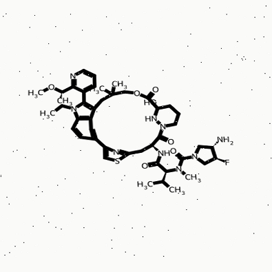 CCn1c(-c2cccnc2[C@H](C)OC)c2c3cc(ccc31)-c1csc(n1)C[C@H](NC(=O)[C@H](C(C)C)N(C)C(=O)N1C[C@H](N)[C@@H](F)C1)C(=O)N1CCC[C@@](O)(N1)C(=O)OCC(C)(C)C2